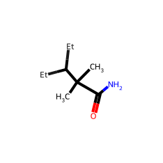 CCC(CC)C(C)(C)C(N)=O